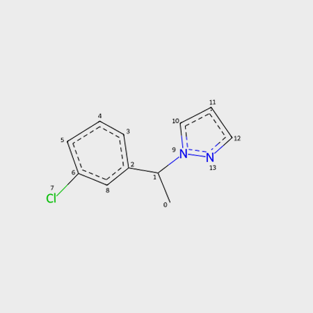 CC(c1cccc(Cl)c1)n1c[c]cn1